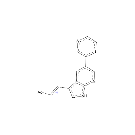 CC(=O)/C=C/c1c[nH]c2ncc(-c3cccnc3)cc12